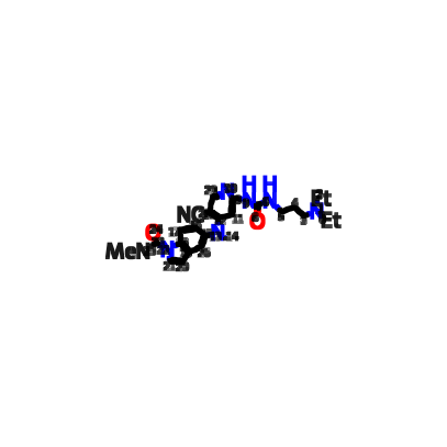 CCN(CC)CCCNC(=O)Nc1cc(N(C)c2ccc3c(ccn3C(=O)NC)c2)c(C#N)cn1